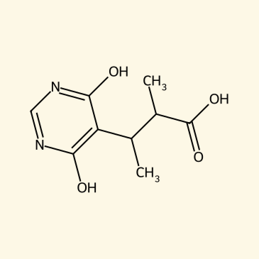 CC(C(=O)O)C(C)c1c(O)ncnc1O